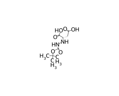 CC(C)(C)OC(=O)NN[C@@H](CC(=O)O)C(=O)O